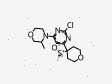 CC1COCCN1c1cc(C2([S@+](C)[O-])CCOCC2)nc(Cl)n1